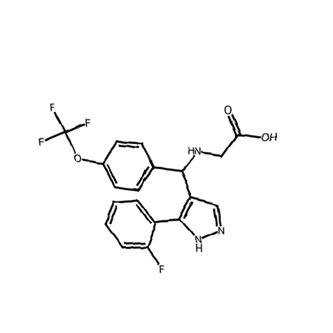 O=C(O)CNC(c1ccc(OC(F)(F)F)cc1)c1cn[nH]c1-c1ccccc1F